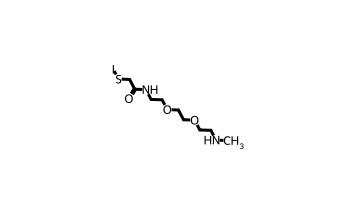 CNCCOCCOCCNC(=O)CSI